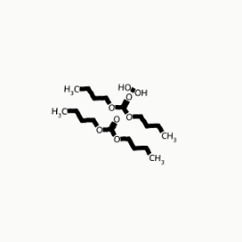 CCCCOC(=O)OCCCC.CCCCOC(=O)OCCCC.OO